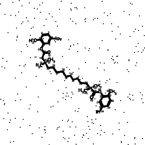 Cc1ccc(C(C)C)cc1OC(=O)C[N+](C)(C)CCCCCCCCCC[N+](C)(C)C(=O)Oc1cc(C(C)C)ccc1C